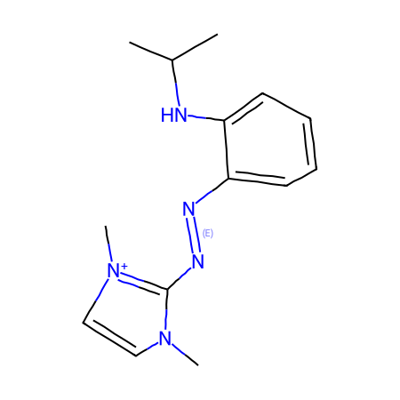 CC(C)Nc1ccccc1/N=N/c1n(C)cc[n+]1C